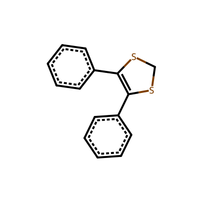 c1ccc(C2=C(c3ccccc3)SCS2)cc1